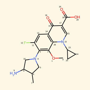 COc1c(N2CC(C)C(N)C2)c(F)cc2c(=O)c(C(=O)O)cn(C3CC3)c12